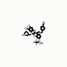 N#Cc1ccc(Cn2cc(-c3nc4cc(Cl)c(Cl)cc4n(CC4CCCNC4)c3=O)c3ccccc32)cc1.O=C(O)C(F)(F)F